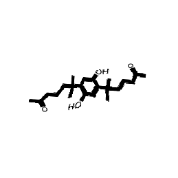 CC(=O)CCCC(C)(C)c1cc(O)c(C(C)(C)CCCC(C)=O)cc1O